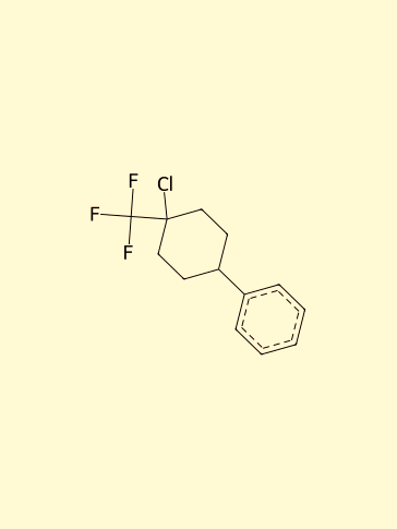 FC(F)(F)C1(Cl)CCC(c2ccccc2)CC1